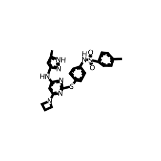 Cc1ccc(S(=O)(=O)Nc2ccc(Sc3nc(Nc4cc(C)[nH]n4)cc(N4CCC4)n3)cc2)cc1